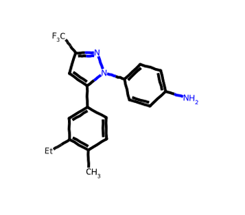 CCc1cc(-c2cc(C(F)(F)F)nn2-c2ccc(N)cc2)ccc1C